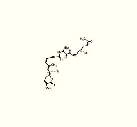 COC1=CC[C@@H]([C@@H](C)/C=C(C)/C=C\C#CC(=O)NC(C(=O)N/C=C\C[C@@H](O)C/C=C(\C)Cl)C(C)(C)C)OC1=O